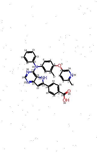 Cc1ccc(Oc2ccc(N(c3ccccc3)c3ncnc4cc(-c5ccc(C(=O)O)cc5)[nH]c34)cc2C)cn1